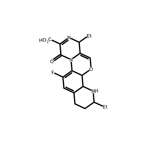 CCC1CCC2=CC(F)=C3C(OC=C4C(CC)N=C(C(=O)O)C(=O)N43)C2N1